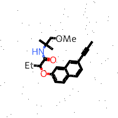 CC#Cc1ccc2ccc(OC(CC)C(=O)NC(C)(C)COC)cc2c1